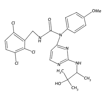 COc1ccc(N(C(=O)NCc2c(Cl)ccc(Cl)c2Cl)c2ccnc(NC(C)C(C)(C)O)n2)cc1